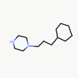 C1CCC(CCCN2CCNCC2)CC1